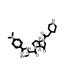 CC(C)C[C@H](NC(=O)c1ccc(N(C)C)cc1)C(=O)N1CC[C@@H]2[C@H]1C(=O)CN2C(=O)CC1CCNCC1